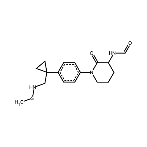 CSNCC1(c2ccc(N3CCCC(NC=O)C3=O)cc2)CC1